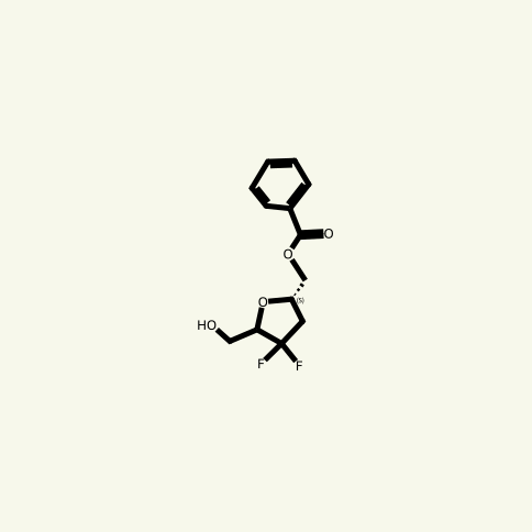 O=C(OC[C@@H]1CC(F)(F)C(CO)O1)c1ccccc1